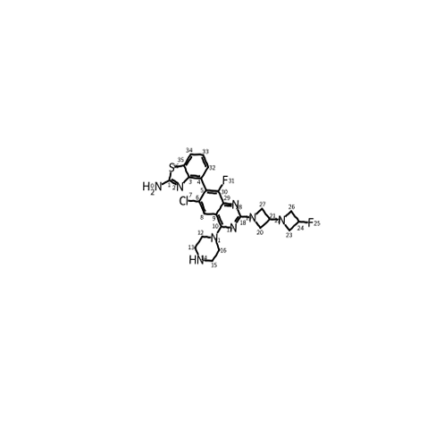 Nc1nc2c(-c3c(Cl)cc4c(N5CCNCC5)nc(N5CC(N6CC(F)C6)C5)nc4c3F)cccc2s1